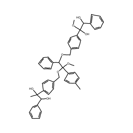 COC(O)(c1ccc(COC(c2ccccc2)C(OC)(OCc2ccc(C(C)(O)C(O)c3ccccc3)cc2)c2ccc(C)cc2)cc1)C(O)c1ccccc1